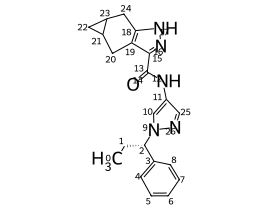 CC[C@@H](c1ccccc1)n1cc(NC(=O)c2n[nH]c3c2CC2CC2C3)cn1